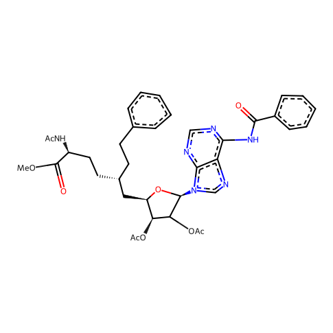 COC(=O)[C@H](CC[C@H](CCc1ccccc1)C[C@H]1O[C@@H](n2cnc3c(NC(=O)c4ccccc4)ncnc32)C(OC(C)=O)[C@H]1OC(C)=O)NC(C)=O